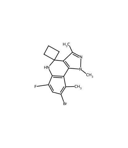 Cc1nn(C)c2c1C1(CCC1)Nc1c(F)cc(Br)c(C)c1-2